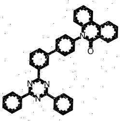 O=c1c2ccccc2c2ccccc2n1-c1ccc(-c2cccc(-c3nc(-c4ccccc4)nc(-c4ccccc4)n3)c2)cc1